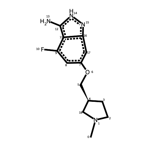 CN1CC[C@H](COc2cc(F)c3c(N)[nH]nc3c2)C1